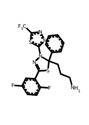 NCCCC1(c2ccccc2)SC(c2cc(F)ccc2F)=NN1c1nnc(C(F)(F)F)s1